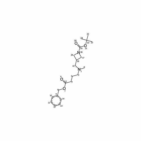 CN(CCCC(=O)OCc1ccccc1)CC1CN(C(=O)OC(C)(C)C)C1